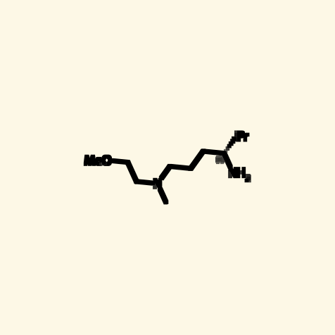 COCCN(C)CCC[C@@H](N)C(C)C